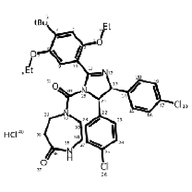 CCOc1cc(C(C)(C)C)c(OCC)cc1C1=N[C@@H](c2ccc(Cl)cc2)[C@@H](c2ccc(Cl)cc2)N1C(=O)N1CCNC(=O)CC1.Cl